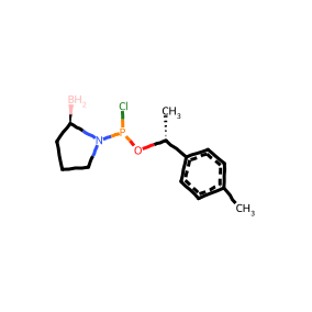 B[C@@H]1CCCN1P(Cl)O[C@H](C)c1ccc(C)cc1